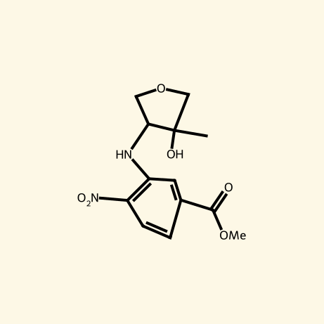 COC(=O)c1ccc([N+](=O)[O-])c(NC2COCC2(C)O)c1